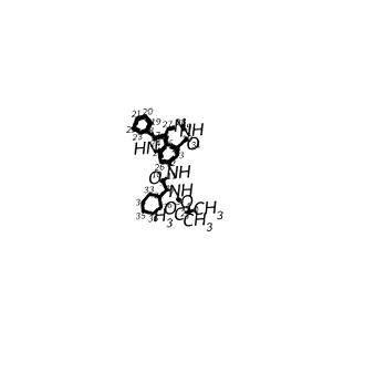 CC(C)(C)OC(=O)N[C@H](C(=O)Nc1cc2c3c(c(-c4ccccc4)[nH]c3c1)C=NNC2=O)C1CCCCC1